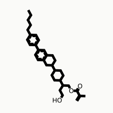 C=C(C)C(=O)OCC(CCO)C1CCC(C2CCc3cc(-c4ccc(CCCCC)cc4)ccc3C2)CC1